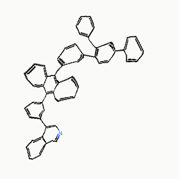 c1ccc(-c2ccc(-c3cccc(-c4c5ccccc5c(-c5cccc(-c6cncc7ccccc67)c5)c5ccccc45)c3)c(-c3ccccc3)c2)cc1